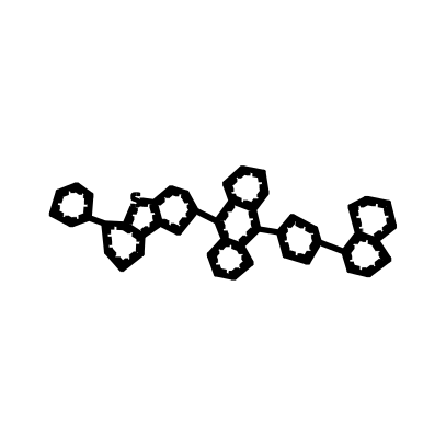 c1ccc(-c2cccc3c2sc2ccc(-c4c5ccccc5c(-c5ccc(-c6cccc7ccccc67)cc5)c5ccccc45)cc23)cc1